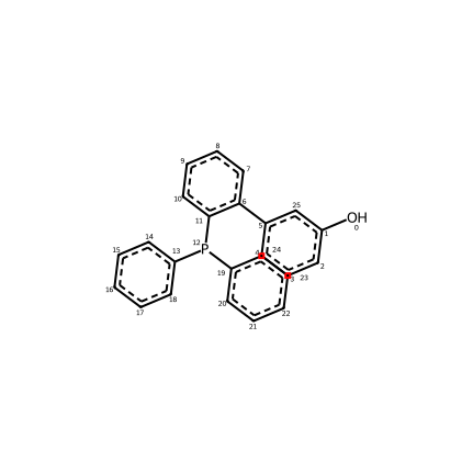 Oc1cccc(-c2ccccc2P(c2ccccc2)c2ccccc2)c1